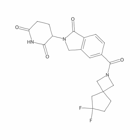 O=C1CCC(N2Cc3cc(C(=O)N4CC5(CCC(F)(F)C5)C4)ccc3C2=O)C(=O)N1